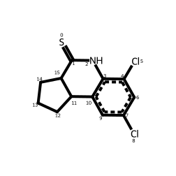 S=C1Nc2c(Cl)cc(Cl)cc2C2CCCC12